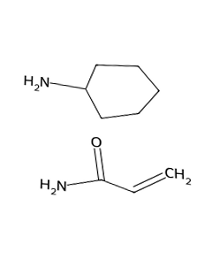 C=CC(N)=O.NC1CCCCC1